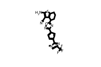 Cn1cc(C(F)(F)F)nc1-c1ccc(-c2noc(C3CCCc4sc(N)c(C#N)c43)n2)cc1